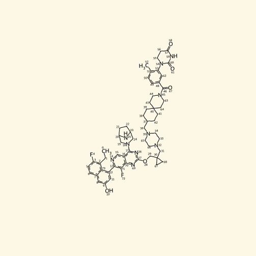 CCc1c(F)ccc2cc(O)cc(-c3ncc4c(N5CC6CCC(C5)N6)nc(OCC5(CN6CCN(CC7CCC8(CC7)CCN(C(=O)c7ccc(C)c(N9CCC(=O)NC9=O)c7)CC8)CC6)CC5)nc4c3F)c12